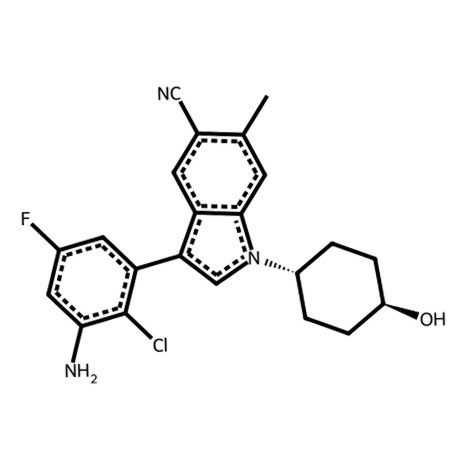 Cc1cc2c(cc1C#N)c(-c1cc(F)cc(N)c1Cl)cn2[C@H]1CC[C@H](O)CC1